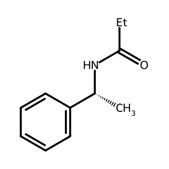 CCC(=O)N[C@H](C)c1ccccc1